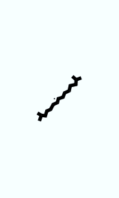 CC(C)CCCCC[CH]CCCCCC(C)C